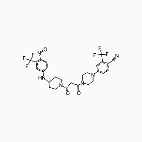 N#Cc1ccc(N2CCN(C(=O)CC(=O)N3CCC(Nc4ccc(N=O)c(C(F)(F)F)c4)CC3)CC2)cc1C(F)(F)F